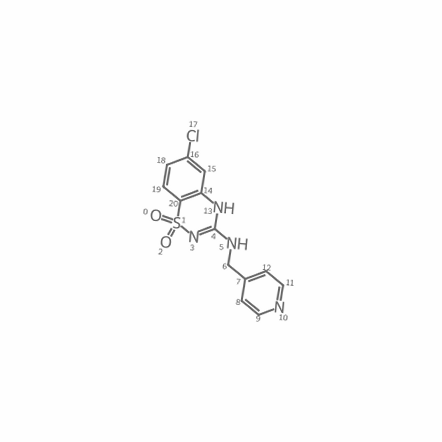 O=S1(=O)N=C(NCc2ccncc2)Nc2cc(Cl)ccc21